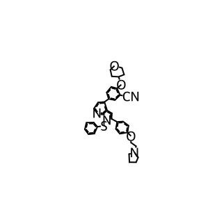 N#Cc1cc(-c2ccnc3c2cc(-c2ccc(OCCN4CCCC4)cc2)n3Sc2ccccc2)ccc1OC1CCOCC1